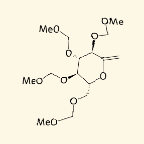 C=C1O[C@H](COCOC)[C@@H](OCOC)[C@H](OCOC)[C@H]1OCOC